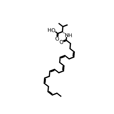 CC/C=C\C/C=C\C/C=C\C/C=C\C/C=C\C/C=C\CCC(=O)N[C@H](C(=O)O)C(C)C